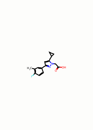 Cc1cc(-c2cc(C3CC3)n(CC(=O)O)n2)ccc1F